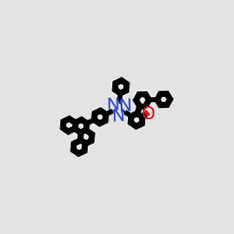 c1ccc(-c2nc(-c3ccc(-c4cc5ccccc5c5c4ccc4ccccc45)cc3)nc(-c3cccc4oc5c(-c6ccccc6)cccc5c34)n2)cc1